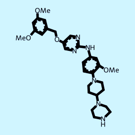 COc1cc(COc2cnc(Nc3ccc(N4CCC(N5CCNCC5)CC4)c(OC)c3)nc2)cc(OC)c1